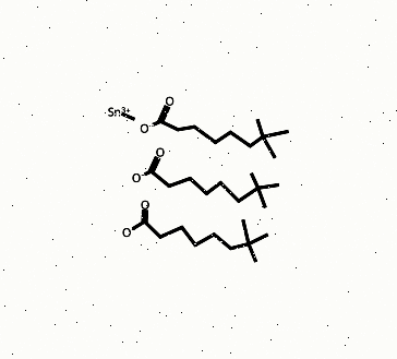 CC(C)(C)CCCCCC(=O)[O-].CC(C)(C)CCCCCC(=O)[O-].CC(C)(C)CCCCCC(=O)[O-].[CH3][Sn+3]